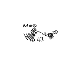 COCCCOc1cc(CCCCCCC(C(=O)NCCN2CCOCC2)(C(C)C)C(C)C)ccc1OCCCO.Cl